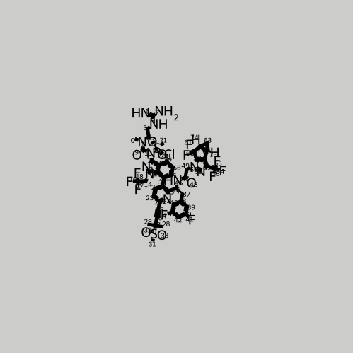 CN(CCNC(=N)N)C(=O)N(c1nn(CC(F)(F)F)c2c(-c3ccc(C#CC(C)(C)S(C)(=O)=O)nc3[C@H](Cc3cc(F)cc(F)c3)NC(=O)Cn3nc(C(F)(F)F)c4c3C(F)(F)[C@@H]3C[C@H]43)ccc(Cl)c12)S(C)(=O)=O